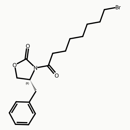 O=C(CCCCCCCBr)N1C(=O)OC[C@H]1Cc1ccccc1